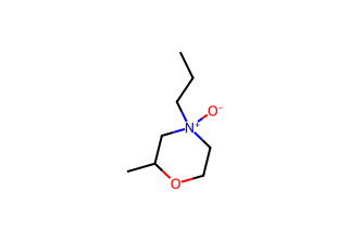 CCC[N+]1([O-])CCOC(C)C1